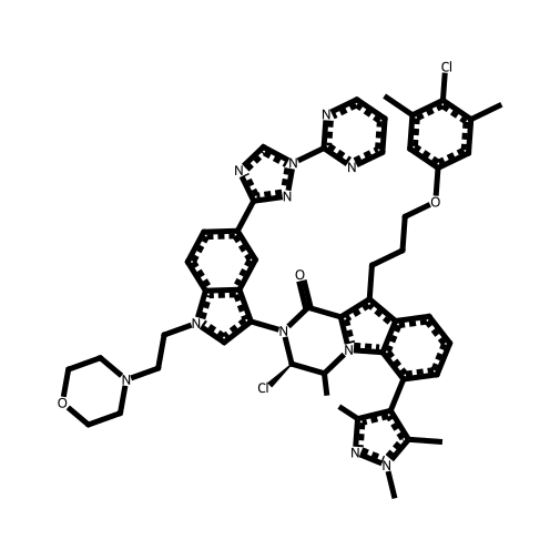 Cc1cc(OCCCc2c3n(c4c(-c5c(C)nn(C)c5C)cccc24)C(C)[C@@H](Cl)N(c2cn(CCN4CCOCC4)c4ccc(-c5ncn(-c6ncccn6)n5)cc24)C3=O)cc(C)c1Cl